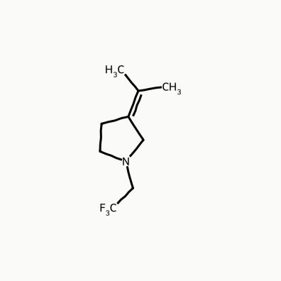 CC(C)=C1CCN(CC(F)(F)F)C1